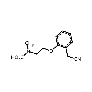 CN(CCOc1ccccc1CC#N)C(=O)O